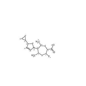 CC1CC(F)C(C(=O)Cl)CC(C)C1N1C=NC(C2CC2)C1